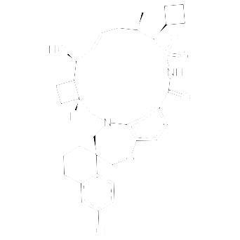 C[C@@H]1C/C=C/[C@H](O)[C@@H]2CC[C@H]2CN2C[C@@]3(CCCc4cc(Cl)ccc43)COc3ccc(cc32)C(=O)NS(=O)(=O)[C@@H]1C1CCC1